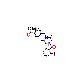 COC(=O)c1ccc(CN2[C@H](C)CN(C(=O)c3ccccc3I)C[C@@H]2C)cc1